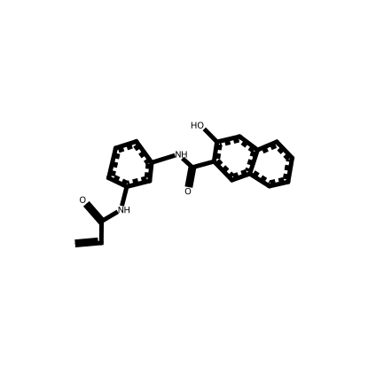 C=CC(=O)Nc1cccc(NC(=O)c2cc3ccccc3cc2O)c1